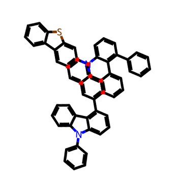 c1ccc(-c2ccccc2-c2c(-c3ccccc3)cccc2N(c2ccc(-c3cccc4c3c3ccccc3n4-c3ccccc3)cc2)c2ccc3c(c2)sc2ccccc23)cc1